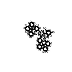 Cc1cc(C)c(C2N=C(c3cccc4c3OC3=C(CCC=C3)C4(c3ccccc3)c3ccccc3)N=C(C3CC=CC4=C3Oc3ccccc3C4(c3ccccc3)c3ccccc3)N2)c(C)c1